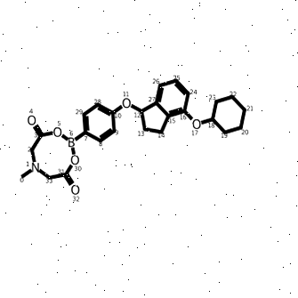 CN1CC(=O)OB(c2ccc(OC3CCc4c(OC5CCCCC5)cccc43)cc2)OC(=O)C1